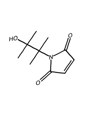 CC(C)(O)C(C)(C)N1C(=O)C=CC1=O